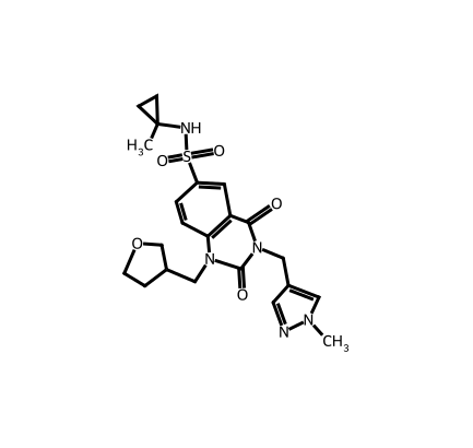 Cn1cc(Cn2c(=O)c3cc(S(=O)(=O)NC4(C)CC4)ccc3n(CC3CCOC3)c2=O)cn1